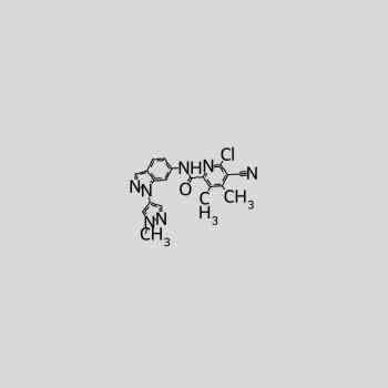 Cc1c(C(=O)Nc2ccc3cnn(-c4cnn(C)c4)c3c2)nc(Cl)c(C#N)c1C